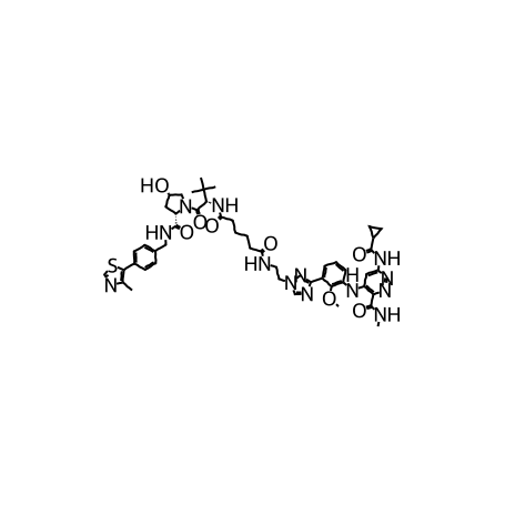 CNC(=O)c1nnc(NC(=O)C2CC2)cc1Nc1cccc(-c2ncn(CCNC(=O)CCCCC(=O)N[C@H](C(=O)N3C[C@H](O)C[C@H]3C(=O)NCc3ccc(-c4scnc4C)cc3)C(C)(C)C)n2)c1OC